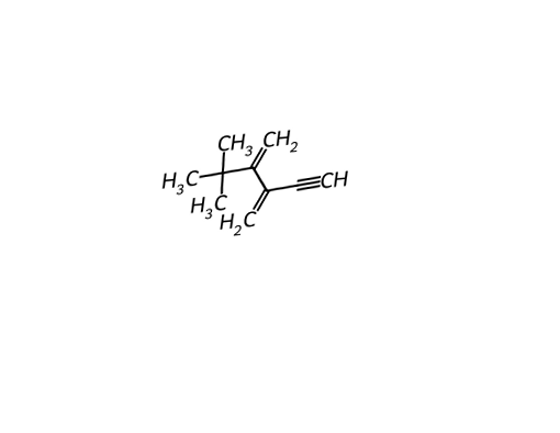 C#CC(=C)C(=C)C(C)(C)C